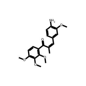 COc1cc(C=C(C)C(=O)c2ccc(OC)c(OC)c2OC)ccc1N